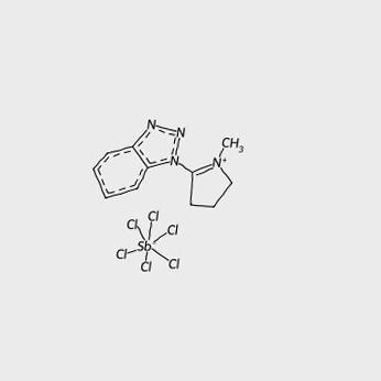 C[N+]1=C(n2nnc3ccccc32)CCC1.[Cl][Sb-]([Cl])([Cl])([Cl])([Cl])[Cl]